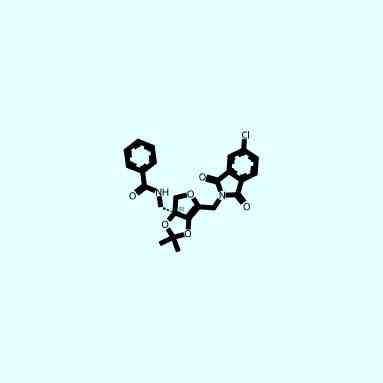 CC1(C)OC2=C(CN3C(=O)c4ccc(Cl)cc4C3=O)OC[C@]2(CNC(=O)c2ccccc2)O1